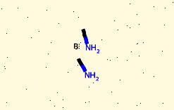 CN.CN.[B]